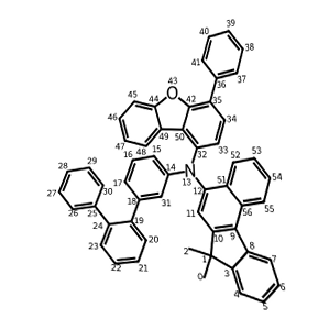 CC1(C)c2ccccc2-c2c1cc(N(c1cccc(-c3ccccc3-c3ccccc3)c1)c1ccc(-c3ccccc3)c3oc4ccccc4c13)c1ccccc21